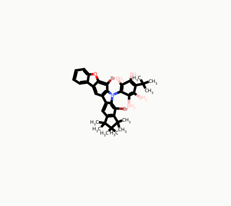 Bc1c(B)c(C(C)(C)C)c(B)c(B)c1-n1c2c(Br)c3c(cc2c2cc4c(oc5ccccc54)c(Br)c21)C(C)(C)C(C)(C)C3(C)C